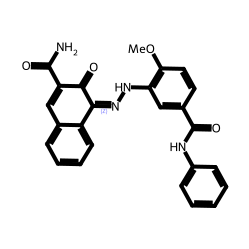 COc1ccc(C(=O)Nc2ccccc2)cc1N/N=C1\C(=O)C(C(N)=O)=Cc2ccccc21